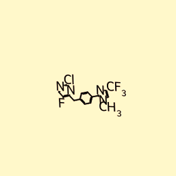 Cn1cc(C(F)(F)F)nc1-c1ccc(Cc2nc(Cl)ncc2F)cc1